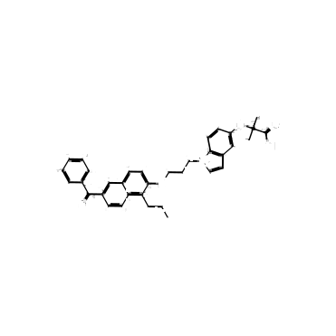 CCCc1c(OCCCn2ccc3cc(OC(C)(C)C(=O)O)ccc32)ccc2cc(C(=O)c3ccccc3)ccc12